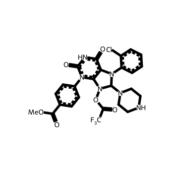 COC(=O)c1ccc(-n2c3c(c(=O)[nH]c2=O)N(c2ccccc2Cl)C(N2CCNCC2)N3OC(=O)C(F)(F)F)cc1